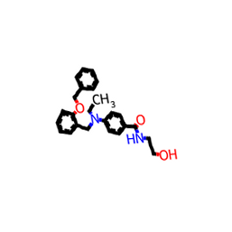 CCN(Cc1ccccc1OCc1ccccc1)c1ccc(C(=O)NCCO)cc1